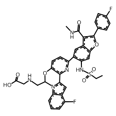 CCS(=O)(=O)Nc1cc2oc(-c3ccc(F)cc3)c(C(=O)NC)c2cc1-c1ccc2c(n1)-c1cc3c(F)cccc3n1C(CNCC(=O)O)O2